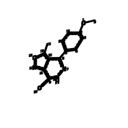 COc1ccc(-c2n[nH]c(=O)c3noc(C)c23)cc1